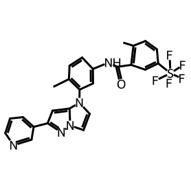 Cc1ccc(S(F)(F)(F)(F)F)cc1C(=O)Nc1ccc(C)c(-n2ccn3nc(-c4cccnc4)cc23)c1